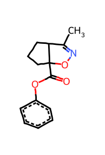 CC1=NOC2(C(=O)Oc3ccccc3)CCCC12